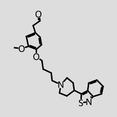 COc1cc(CC=O)ccc1OCCCCN1CCC(c2snc3ccccc23)CC1